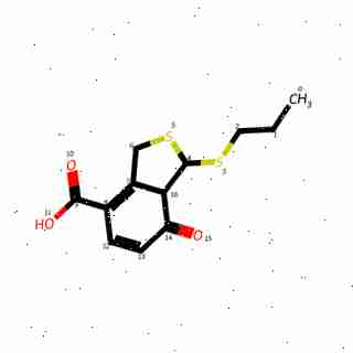 CCCSC1SCC2=C(C(=O)O)C=CC(=O)C21